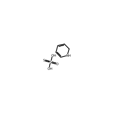 C1=CCNC=C1.O=S(O)(O)=S